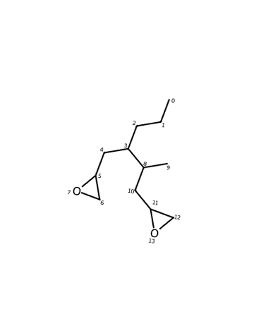 CCCC(CC1CO1)C(C)CC1CO1